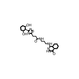 O=C(CCc1nc(-c2c(O)cccc2O)no1)NCCCNc1n[nH]c(=O)c2ccccc12